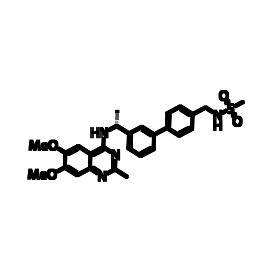 COc1cc2nc(C)nc(N[C@H](C)c3cccc(-c4ccc(CNS(C)(=O)=O)cc4)c3)c2cc1OC